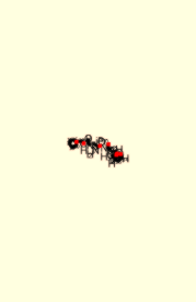 CC(C)C[C@H](NC(=O)[C@@H](N)CNC(=O)OCc1ccccc1)B1O[C@@H]2C[C@@H]3C[C@@H](C3(C)C)[C@]2(C)O1